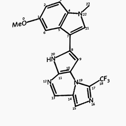 COc1ccc2c(c1)c(-c1cc3c(ncc4cnc(C(F)(F)F)n43)[nH]1)cn2C